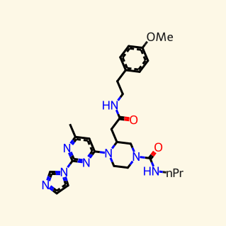 CCCNC(=O)N1CCN(c2cc(C)nc(-n3ccnc3)n2)C(CC(=O)NCCc2ccc(OC)cc2)C1